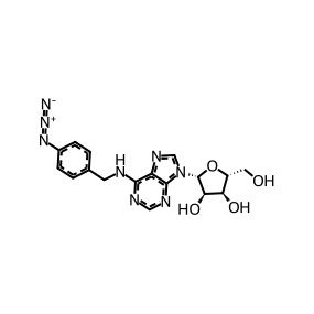 [N-]=[N+]=Nc1ccc(CNc2ncnc3c2ncn3[C@@H]2O[C@H](CO)[C@@H](O)[C@H]2O)cc1